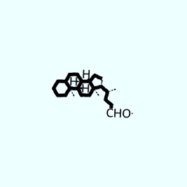 C[C@H](CC[C]=O)[C@H]1CC[C@H]2[C@@H]3CCC4CCCC[C@]4(C)[C@H]3CC[C@]12C